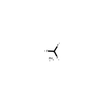 F[C](F)F.P